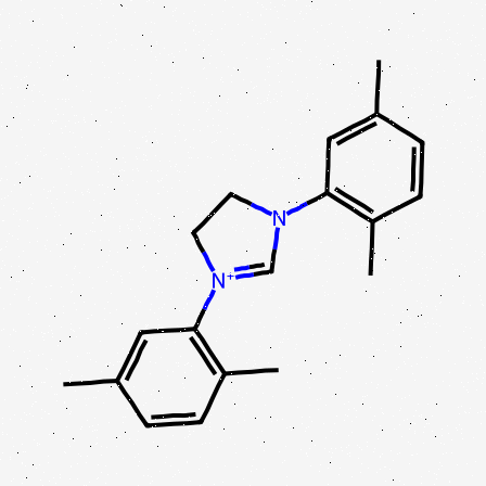 Cc1ccc(C)c(N2C=[N+](c3cc(C)ccc3C)CC2)c1